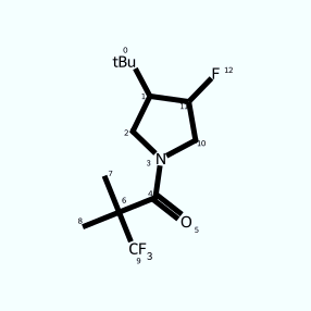 CC(C)(C)C1CN(C(=O)C(C)(C)C(F)(F)F)CC1F